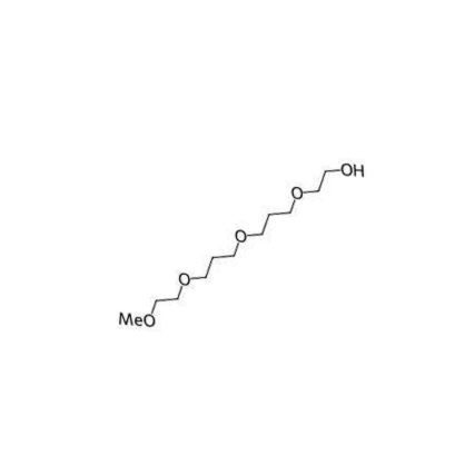 COCCOCCCOCCCOCCO